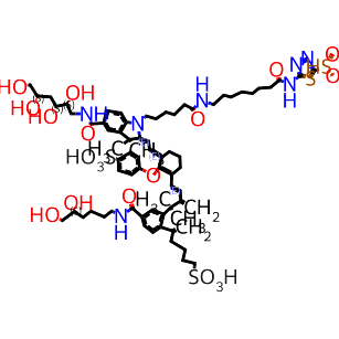 C=C(CCCCS(=O)(=O)O)c1ccc(C(=O)NCCCC[C@H](O)CO)cc1C(C)(C)C(=C)/C=C/C1=C(Oc2ccc(S(=O)(=O)O)cc2)C(=C/C=C2/N(CCCCCC(=O)NCCCCCCCC(=O)Nc3nnc([SH](=O)=O)s3)c3ccc(C(=O)NC[C@H](O)[C@@H](O)C[C@H](O)CO)cc3C2(C)C)/CCC1